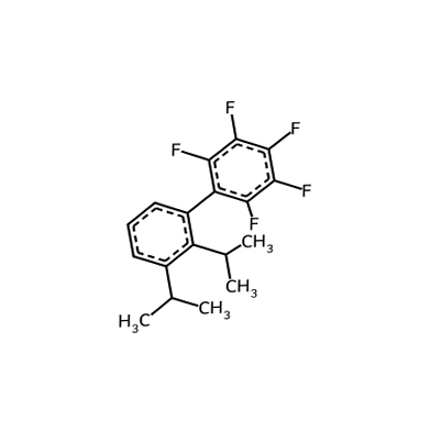 CC(C)c1cccc(-c2c(F)c(F)c(F)c(F)c2F)c1C(C)C